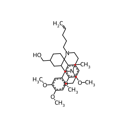 C=CCCCN1CCc2cc(OC)c(OC)cc2C12CCC(CO)CC2C1c2cc(OC)c(OC)cc2CCN1CC